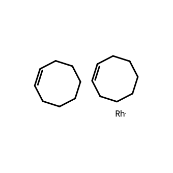 C1=CCCCCCC1.C1=CCCCCCC1.[Rh]